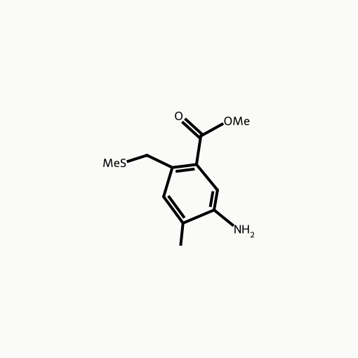 COC(=O)c1cc(N)c(C)cc1CSC